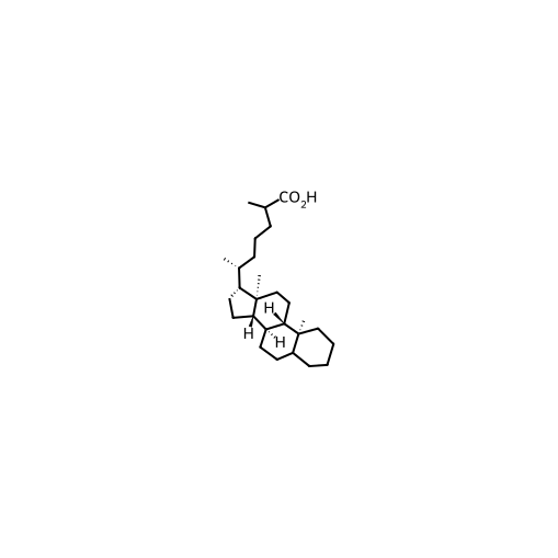 CC(CCC[C@@H](C)[C@H]1CC[C@H]2[C@@H]3CCC4CCCC[C@]4(C)[C@H]3CC[C@]12C)C(=O)O